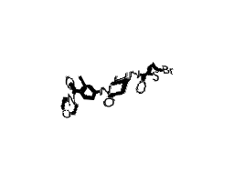 Cc1cc(N2CC(NC(=O)c3ccc(Br)s3)CC2=O)ccc1C(=O)N1CCOCC1